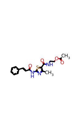 CC(=O)OCCNC(=O)c1sc(NC(=O)C=Cc2ccccc2)nc1C